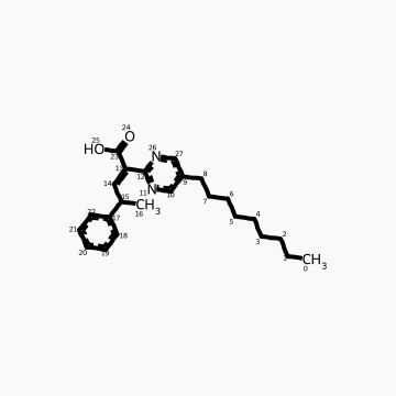 CCCCCCCCCc1cnc(/C(=C\C(C)c2ccccc2)C(=O)O)nc1